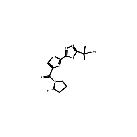 C[C@H]1CCCN1C(=O)c1csc(-c2nnc(C(C)(C)O)o2)n1